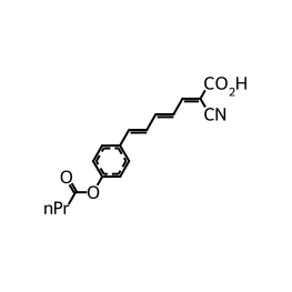 CCCC(=O)Oc1ccc(/C=C/C=C/C=C(\C#N)C(=O)O)cc1